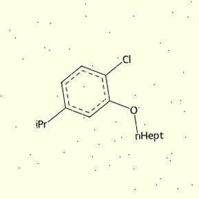 CCCCCCCOc1cc(C(C)C)ccc1Cl